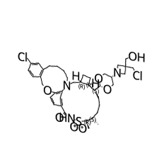 C[C@@H]1[C@@H](C)CCC[C@H]([C@H]2OC[C@@H](N3CC(CO)(CCl)C3)CO2)[C@@H]2CC[C@H]2CN2CCCCc3cc(Cl)ccc3COc3ccc(cc32)C(=O)NS1(=O)=O